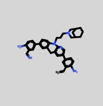 C=Cc1cc(-c2cnc3c(c2)Cc2cc(-c4ccc(N)c(C=N)c4)ccc2N3CCCN2CC3CCCC(C3)C2)ccc1N